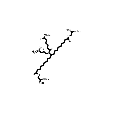 CCCCCCC(CCCC)COC(=O)CCCCCCCCC(CCCCCCCCC(=O)OCC(CCCC)CCCCCC)N(CCCN(C)C)C(=O)CCCCC(=O)OC